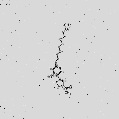 COCCOCCOCCOc1ccc(C2=N[C@@H](C(C)=O)CS2)c(O)c1